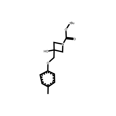 Cc1ccc(OCC2(O)CN(C(=O)OC(C)(C)C)C2)cc1